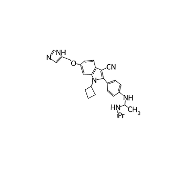 CC(C)NC(C)Nc1ccc(-c2c(C#N)c3ccc(OCc4cnc[nH]4)cc3n2C2CCC2)cc1